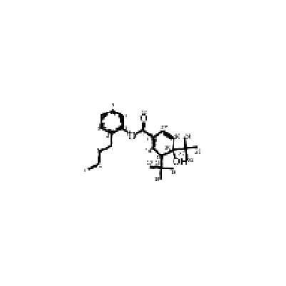 CCCCc1ccccc1OC(=O)C1=CC(C(C)(C)C)C(O)(C(C)(C)C)C=C1